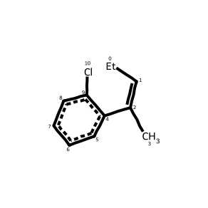 [CH2]C/C=C(/C)c1ccccc1Cl